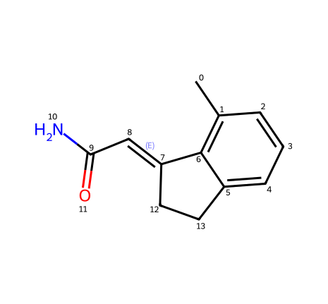 Cc1cccc2c1/C(=C/C(N)=O)CC2